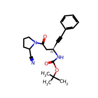 CC(C)(C)OC(=O)N[C@H](C#Cc1ccccc1)CC(=O)N1CCCC1C#N